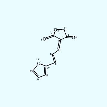 O=C1COC(=O)C1=CC=Cc1ccco1